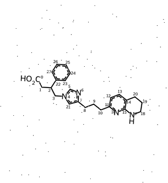 O=C(O)CC(Cn1cnc(CCCc2ccc3c(n2)NCCC3)c1)c1ccccc1